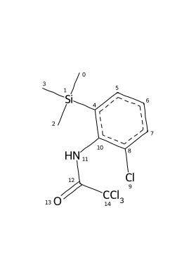 C[Si](C)(C)c1cccc(Cl)c1NC(=O)C(Cl)(Cl)Cl